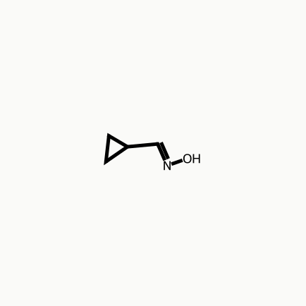 O/N=[C]/C1CC1